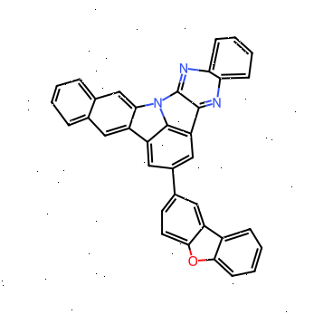 c1ccc2cc3c(cc2c1)c1cc(-c2ccc4oc5ccccc5c4c2)cc2c4nc5ccccc5nc4n3c12